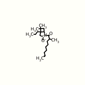 C=CCCCCCC(C)C(=O)N1C2CC(C)(C)C2(CCC)C[S+]1[O-]